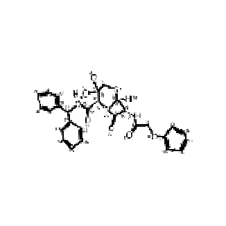 C[C@@]1(Cl)CS[C@@H]2[C@H](NC(=O)COc3ccccc3)C(=O)N2[C@H]1C(=O)OC(c1ccccc1)c1ccccc1